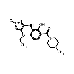 CCOc1n[s+]([O-])nc1Nc1cccc(C(=O)N2CCN(C)CC2)c1O